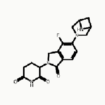 O=C1CCC(N2Cc3c(ccc(N4CC5CC(C4)N5)c3F)C2=O)C(=O)N1